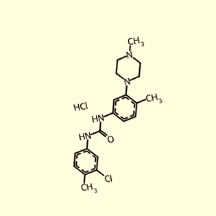 Cc1ccc(NC(=O)Nc2ccc(C)c(N3CCN(C)CC3)c2)cc1Cl.Cl